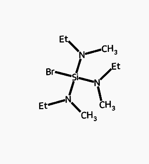 CCN(C)[Si](Br)(N(C)CC)N(C)CC